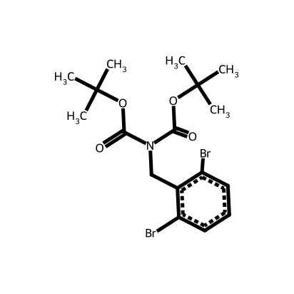 CC(C)(C)OC(=O)N(Cc1c(Br)cccc1Br)C(=O)OC(C)(C)C